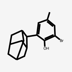 Cc1cc(Br)c(O)c(C2C3CC4CC(C3)CC2C4)c1